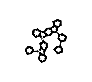 c1ccc(-c2cccc(-n3c4ccccc4c4cc5c6ccccc6n(-c6ccc7c8ccccc8n(-c8ccccc8)c7c6)c5cc43)c2)cc1